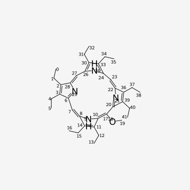 CCC1=C(CC)c2cc3[nH]c(c(CC)c3CC)c(OC)c3nc(cc4[nH]c(cc1n2)c(CC)c4CC)C(CC)=C3CC